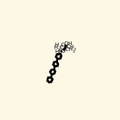 CC(C)(O)C(C)(C)OBc1ccc(-c2ccc(-c3ccc(-c4ccccc4)cc3)cc2)cc1